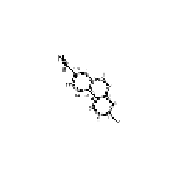 Cc1ccc2c(ccc3cc(C#N)ccc32)c1